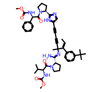 C/C=C(/c1cccc(C(C)(C)C)c1)C(C)(C#CC#Cc1cnc([C@@H]2CCCN2C(=O)[C@H](NC(=O)OC)c2ccccc2)[nH]1)/N=C(\N)[C@@H]1CCCN1C(=O)[C@@H](NC(=O)OC)C(C)C